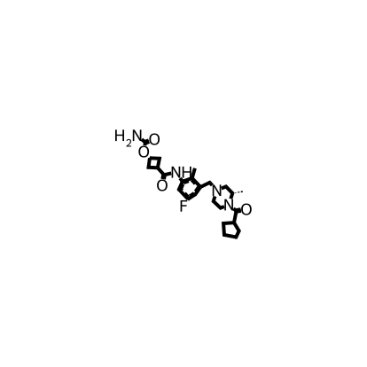 Cc1c(CN2CCN(C(=O)C3CCCC3)[C@@H](C)C2)cc(F)cc1NC(=O)C1CC(OC(N)=O)C1